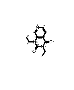 CCn1c(=O)c2ccncc2n(CC)c1=O